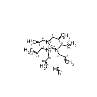 C=CCN(CC=C)[S+](N(CC=C)CC=C)N(CC=C)CC=C.F.[F-]